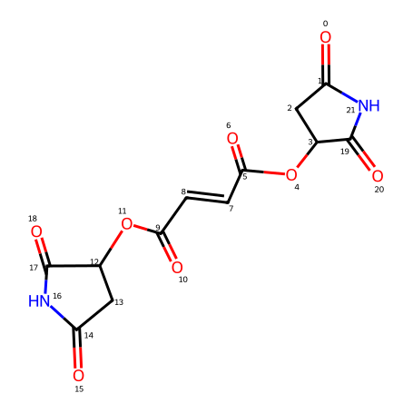 O=C1CC(OC(=O)/C=C/C(=O)OC2CC(=O)NC2=O)C(=O)N1